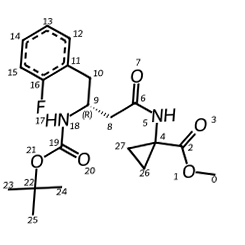 COC(=O)C1(NC(=O)C[C@@H](Cc2ccccc2F)NC(=O)OC(C)(C)C)CC1